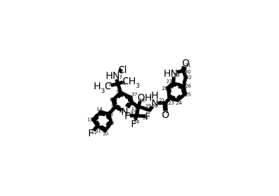 CC(C)(NCl)c1cc(-c2ccc(F)cc2)nc(C(O)(CNC(=O)c2ccc3c(c2)NC(=O)C3)C(F)(F)F)c1